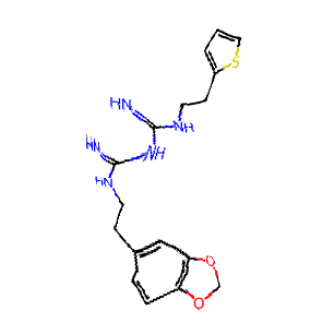 N=C(NCCc1ccc2c(c1)OCO2)NC(=N)NCCc1cccs1